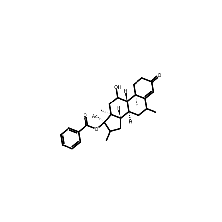 CC(=O)[C@@]1(OC(=O)c2ccccc2)C(C)C[C@H]2[C@@H]3CC(C)C4=CC(=O)CC[C@]4(C)[C@H]3C(O)C[C@@]21C